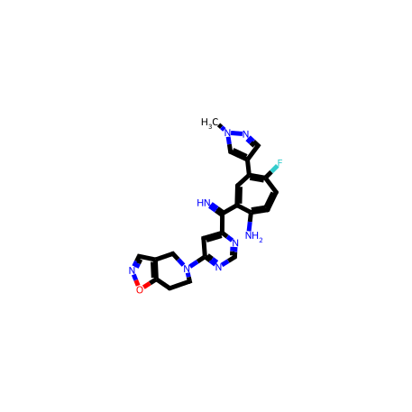 Cn1cc(C2=C(F)C=C=C(N)C(C(=N)c3cc(N4CCc5oncc5C4)ncn3)=C2)cn1